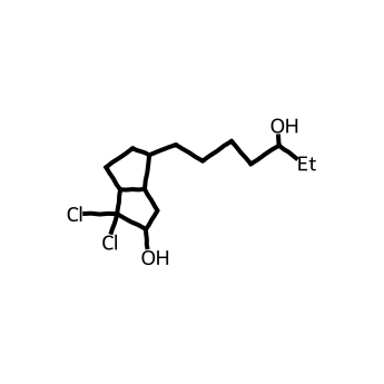 CCC(O)CCCCC1CCC2C1CC(O)C2(Cl)Cl